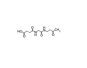 CC(=O)CCNC(=O)CNC(=O)CCC(=O)O